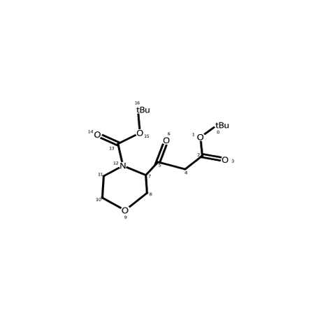 CC(C)(C)OC(=O)CC(=O)C1COCCN1C(=O)OC(C)(C)C